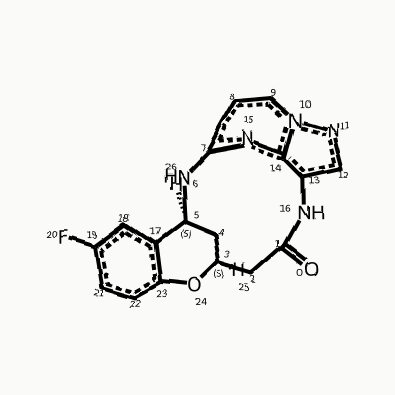 O=C1C[C@@H]2C[C@H](Nc3ccn4ncc(c4n3)N1)c1cc(F)ccc1O2